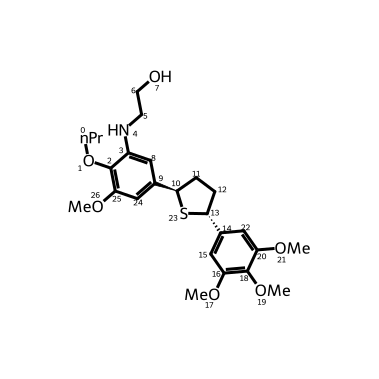 CCCOc1c(NCCO)cc([C@H]2CC[C@H](c3cc(OC)c(OC)c(OC)c3)S2)cc1OC